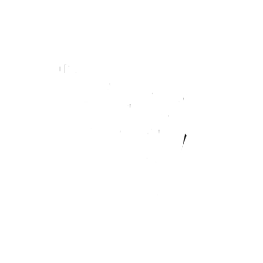 CC(C)(C)CC1CCC(CC(C)(C)C[C@H]2CCCO2)C1